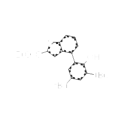 CCOC(=O)c1cc2c(-c3cc(C(C)(C)C)cc(C(C)(C)C)c3O)cccc2s1